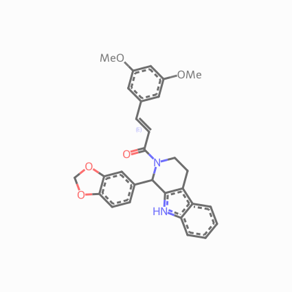 COc1cc(/C=C/C(=O)N2CCc3c([nH]c4ccccc34)C2c2ccc3c(c2)OCO3)cc(OC)c1